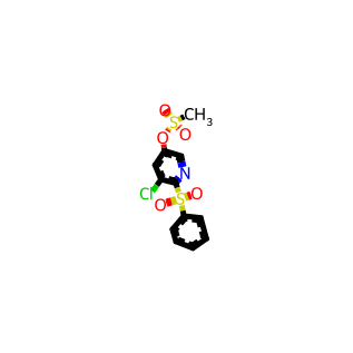 CS(=O)(=O)Oc1cnc(S(=O)(=O)c2ccccc2)c(Cl)c1